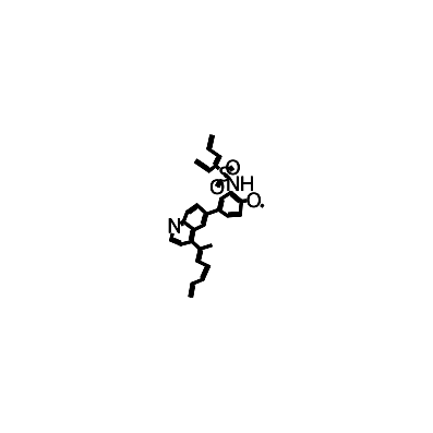 C=C/C=C\C=C(/C)c1ccnc2ccc(-c3ccc(OC)c(NS(=O)(=O)/C(C=C)=C/C=C)c3)cc12